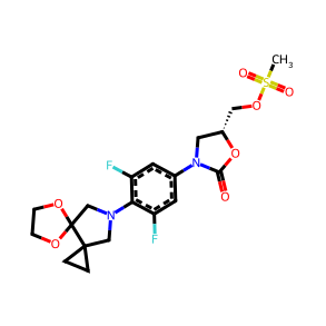 CS(=O)(=O)OC[C@H]1CN(c2cc(F)c(N3CC4(CC4)C4(C3)OCCO4)c(F)c2)C(=O)O1